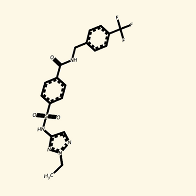 CCn1ncc(NS(=O)(=O)c2ccc(C(=O)NCc3ccc(C(F)(F)F)cc3)cc2)n1